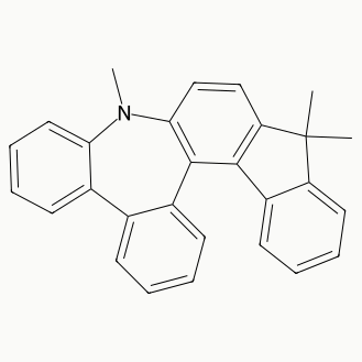 CN1c2ccccc2-c2ccccc2-c2c1ccc1c2-c2ccccc2C1(C)C